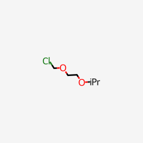 CC(C)OCCOCCl